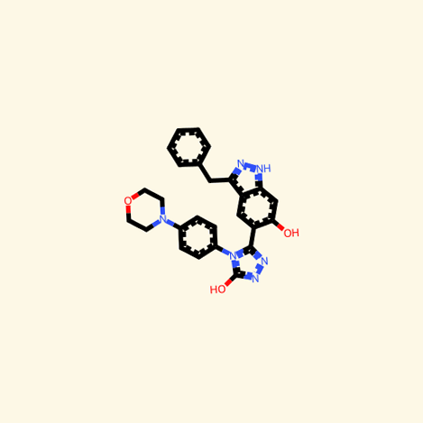 Oc1cc2[nH]nc(Cc3ccccc3)c2cc1-c1nnc(O)n1-c1ccc(N2CCOCC2)cc1